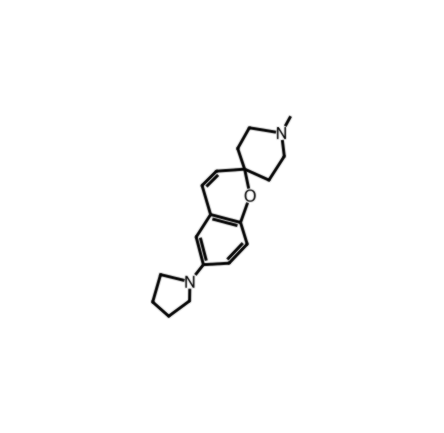 CN1CCC2(C=Cc3cc(N4CCCC4)ccc3O2)CC1